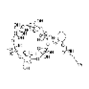 CCC1OC2OC3C(CO)OC(OC4C(CO)OC(OC5C(Cn6nnc7c6CCCCCC7OCC(=O)NCCCCC(C)C)OC(OC6C(CO)OC(OC7C(CO)OC(OC1C(O)C2O)C(O)C7O)C(O)C6O)C(O)C5O)C(O)C4O)C(O)C3O